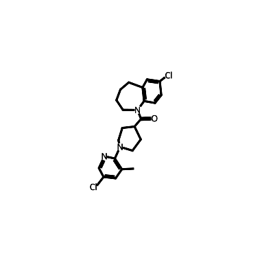 Cc1cc(Cl)cnc1N1CCC(C(=O)N2CCCCc3cc(Cl)ccc32)CC1